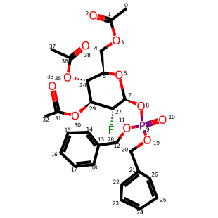 CC(=O)OC[C@H]1O[C@@H](OP(=O)(OCc2ccccc2)OCc2ccccc2)[C@H](F)[C@@H](OC(C)=O)[C@@H]1OC(C)=O